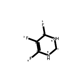 FC1=C(F)C(F)NCN1